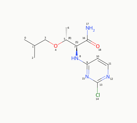 CC(C)CO[C@H](C)[C@H](Nc1ccnc(Cl)n1)C(N)=O